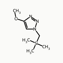 COc1cn(C[Si](C)(C)C)nn1